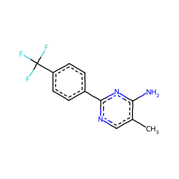 Cc1cnc(-c2ccc(C(F)(F)F)cc2)nc1N